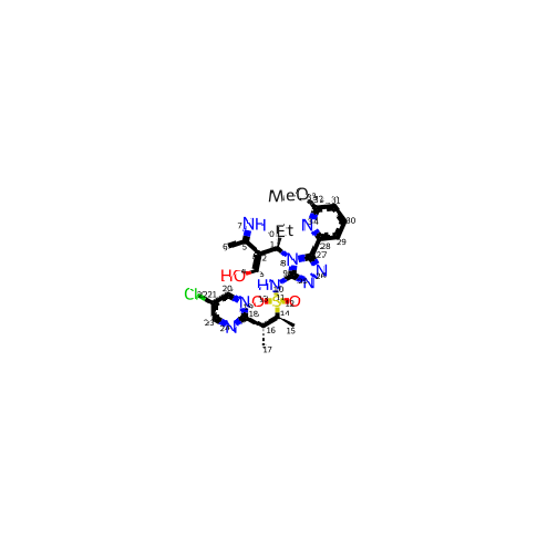 CC[C@H](/C(=C/O)C(C)=N)n1c(NS(=O)(=O)[C@@H](C)[C@H](C)c2ncc(Cl)cn2)nnc1-c1cccc(OC)n1